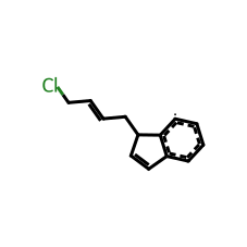 ClCC=CCC1C=Cc2ccc[c]c21